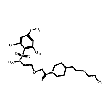 CCCNCCC1CCN(C(=O)COCCN(C)S(=O)(=O)c2c(C)cc(OC)cc2C)CC1